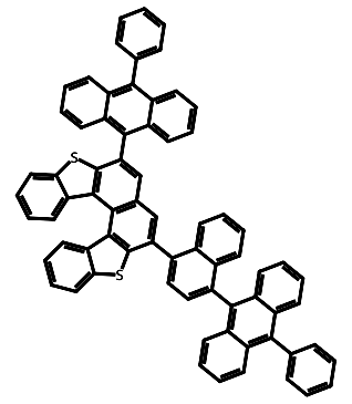 c1ccc(-c2c3ccccc3c(-c3ccc(-c4cc5cc(-c6c7ccccc7c(-c7ccccc7)c7ccccc67)c6sc7ccccc7c6c5c5c4sc4ccccc45)c4ccccc34)c3ccccc23)cc1